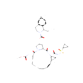 COCC1c2ccc(OC)cc2CCN1C(=O)O[C@@H]1CC2C(=O)N[C@]3(C(=O)NS(=O)(=O)C4CC4)C[C@H]3/C=C\CCCCC[C@H](NC(=O)OC(C)(C)C)C(=O)N2C1